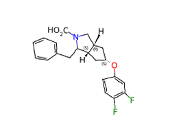 O=C(O)N1C[C@@H]2C[C@H](Oc3ccc(F)c(F)c3)C[C@@H]2C1Cc1ccccc1